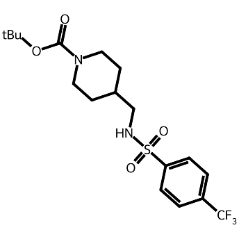 CC(C)(C)OC(=O)N1CCC(CNS(=O)(=O)c2ccc(C(F)(F)F)cc2)CC1